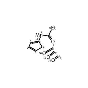 CC[C](=O)[Mn][C]1=CC=CC1.[C]=O.[C]=O.[C]=O